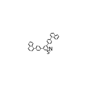 c1ccc2c(-c3ccc(-c4cc(-c5ccc(-c6cccc7ccccc67)cc5)c5ncsc5c4)cc3)cccc2c1